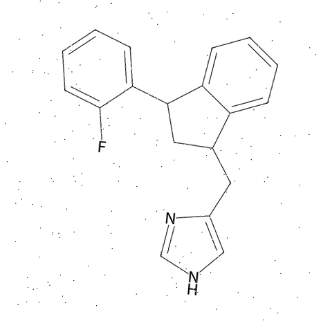 Fc1ccccc1C1CC(Cc2c[nH]cn2)c2ccccc21